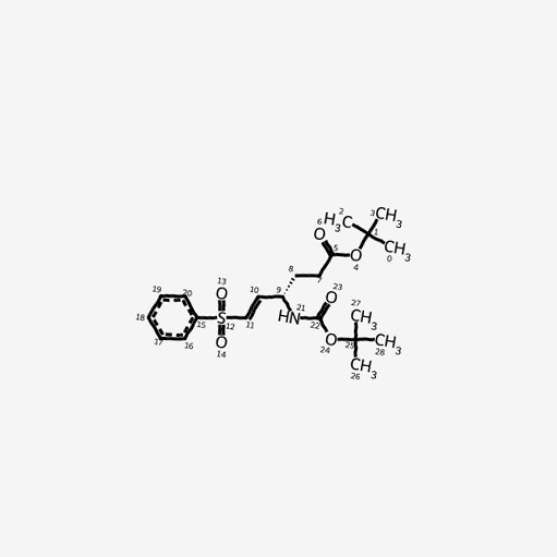 CC(C)(C)OC(=O)CC[C@@H](/C=C/S(=O)(=O)c1ccccc1)NC(=O)OC(C)(C)C